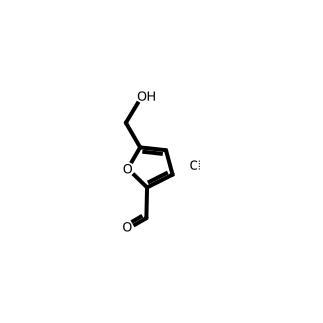 O=Cc1ccc(CO)o1.[C]